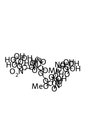 COc1cc2c(cc1OCCCOc1cc3c(cc1OC)C(=O)N1CCC[C@H]1[C@H](O)N3C(=O)OCc1ccc(OC3OC(CO)C(O)C(O)C3O)c([N+](=O)[O-])c1)N(C(=O)OCc1ccc(OC3OC(CO)C(O)C(O)C3O)c([N+](=O)[O-])c1)[C@H](O)[C@H]1CCCN1C2=O